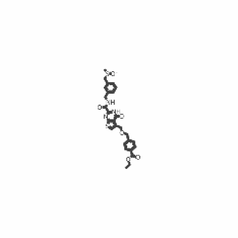 CCOC(=O)c1ccc(COCc2csc3nc(C(=O)NCc4cccc(C[S+](C)[O-])c4)[nH]c(=O)c23)cc1